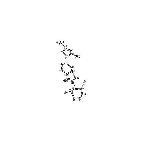 CCn1nc(C)cc1-c1ccc2[nH]c(-c3c(F)cccc3Cl)cc2c1